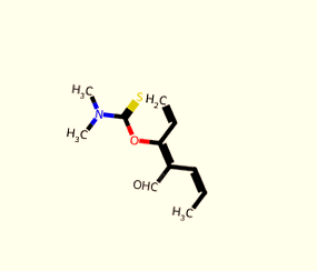 C=C/C(OC(=S)N(C)C)=C(C=O)\C=C/C